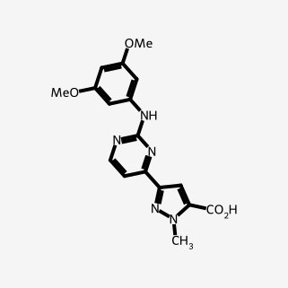 COc1cc(Nc2nccc(-c3cc(C(=O)O)n(C)n3)n2)cc(OC)c1